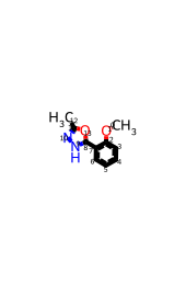 COc1ccccc1C1NN=C(C)O1